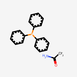 NC(=O)C(F)(F)F.c1ccc(P(c2ccccc2)c2ccccc2)cc1